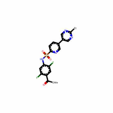 CCc1ncc(-c2ccc(S(=O)(=O)Nc3cc(F)c(C(=O)OC)cc3F)nc2)cn1